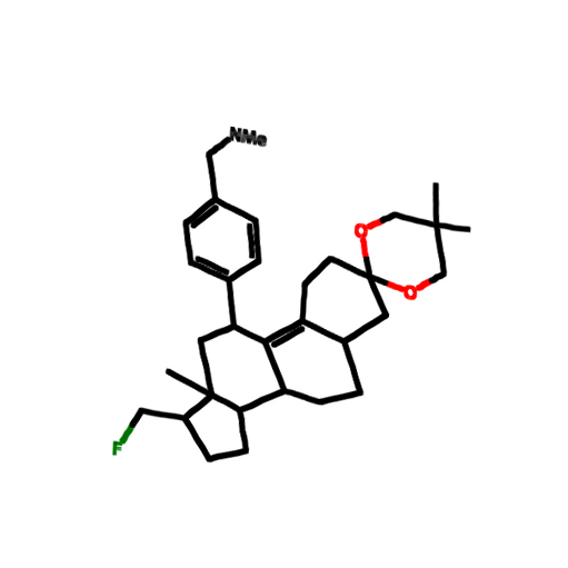 CNCc1ccc(C2CC3(C)C(CF)CCC3C3CCC4CC5(CCC4=C23)OCC(C)(C)CO5)cc1